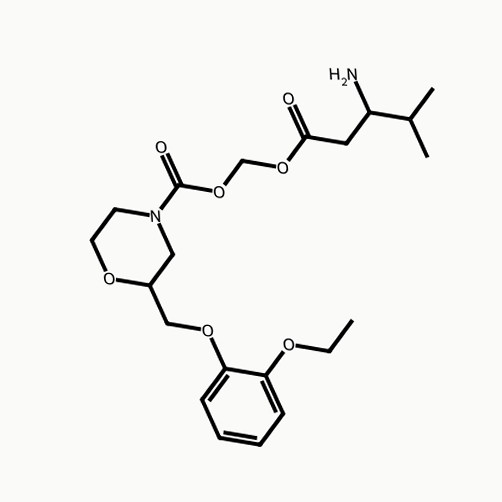 CCOc1ccccc1OCC1CN(C(=O)OCOC(=O)CC(N)C(C)C)CCO1